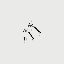 CC(C)=O.CC(C)=O.[Ti]